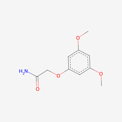 COc1cc(OC)cc(OCC(N)=O)c1